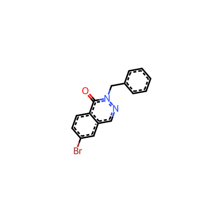 O=c1c2ccc(Br)cc2cnn1Cc1ccccc1